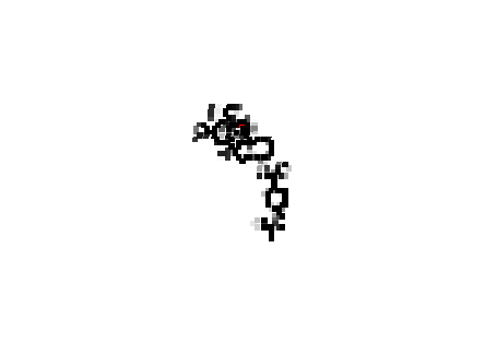 CO[C@H]1C[C@]2(O)[C@H]3CC4[C@@H](OC(=O)c5ccc(OC(C)=O)cc5)CCCC4(C3)C3C[C@H]1[C@H](OC)[C@@]32O